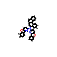 c1ccc2c(c1)ccc1cc(N(c3ccc4oc5ccccc5c4n3)c3ccc4oc5ccccc5c4n3)c3ccccc3c12